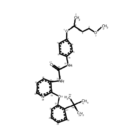 COCCC(C)Oc1ccc(NC(=O)Nc2cccnc2Oc2ccccc2C(C)(C)C)cc1